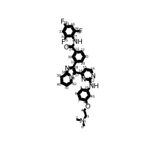 CN(C)CCOc1cccc(Nc2nccc(-c3c(-c4cccc(C(=O)Nc5c(F)cc(F)cc5F)c4)nc4ccccn34)n2)c1